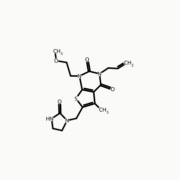 C=CCn1c(=O)c2c(C)c(CN3CCNC3=O)sc2n(CCOC)c1=O